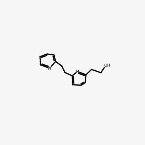 OCCc1cccc(CCc2ccccn2)n1